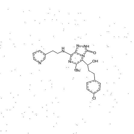 CC(C)(C)c1nc(NCCc2cccnc2)c2n[nH]c(=O)n2c1C(O)CCc1ccc(Cl)cc1